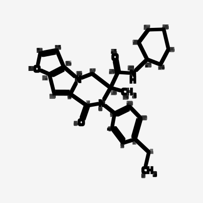 CCc1ccc(N2C(=O)c3cc4occc4n3CC2(C)C(=O)NC2CCCCC2)cc1